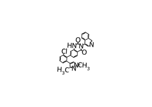 Cc1nn(C)cc1-c1cccc(Cl)c1-c1ccc2c(=O)n(-c3cncc4ccccc34)c(=O)[nH]c2c1